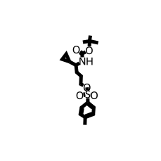 Cc1ccc(S(=O)(=O)OCCCC(NC(=O)OC(C)(C)C)C2CC2)cc1